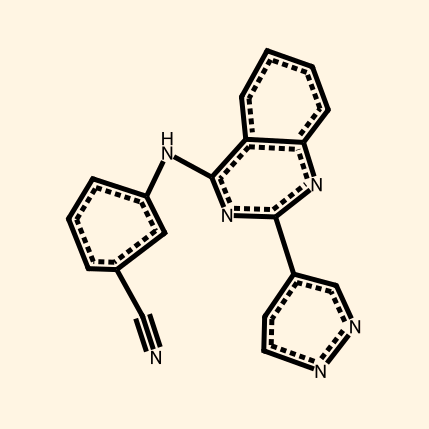 N#Cc1cccc(Nc2nc(-c3ccnnc3)nc3ccccc23)c1